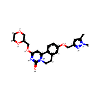 Cc1cc(COc2ccc3c(c2)CCn2c-3cc(OCC3COCCO3)nc2=O)nn1C